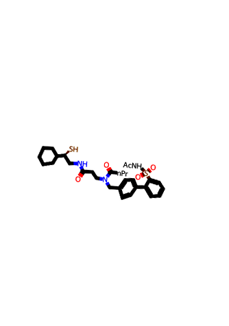 CCCC(=O)N(CCC(=O)NC[C@H](S)C1CCCCC1)Cc1ccc(-c2ccccc2S(=O)(=O)NC(C)=O)cc1